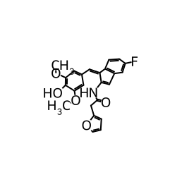 COc1cc(C=C2C(NC(=O)Cc3ccco3)=Cc3cc(F)ccc32)cc(OC)c1O